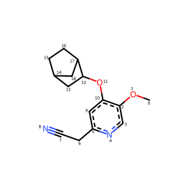 COc1cnc(CC#N)cc1OC1CC2CCC1C2